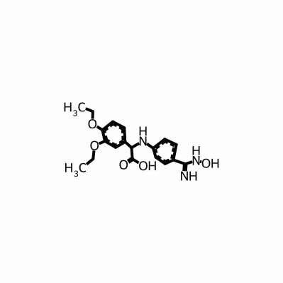 CCOc1ccc(C(Nc2ccc(C(=N)NO)cc2)C(=O)O)cc1OCC